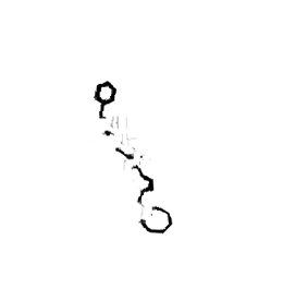 O=C(NCc1ccccc1)NCc1noc(-c2ccc(CN3CCCCCC3)s2)n1